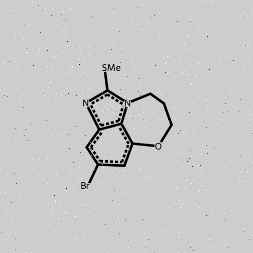 CSc1nc2cc(Br)cc3c2n1CCCO3